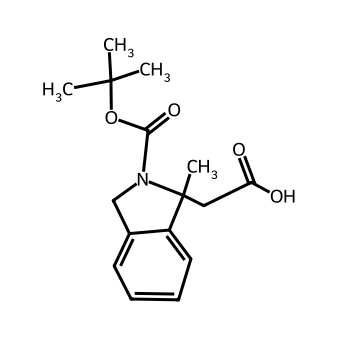 CC(C)(C)OC(=O)N1Cc2ccccc2C1(C)CC(=O)O